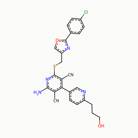 N#Cc1c(N)nc(SCc2coc(-c3ccc(Cl)cc3)n2)c(C#N)c1-c1ccc(CCCO)nc1